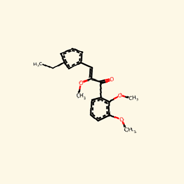 CCc1cccc(C=C(OC)C(=O)c2cccc(OC)c2OC)c1